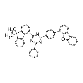 CC1(C)c2ccccc2-c2c(-c3nc(-c4ccccc4)nc(-c4ccc(-c5cccc6c5oc5ccccc56)cc4)n3)cccc21